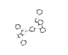 Cc1c(C)n(-c2ccccc2)c2nc(-c3ccc(-n4c5ccccc5c5ccc6c(ccn6-c6ccccc6)c54)cc3)nc(-c3ccccc3)c12